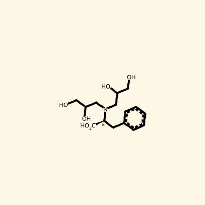 O=C(O)[C@H](Cc1ccccc1)N(CC(O)CO)CC(O)CO